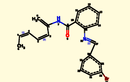 C=C(/C=C\C=C/C)NC(=O)c1ccccc1/N=C/c1cccc(Br)c1